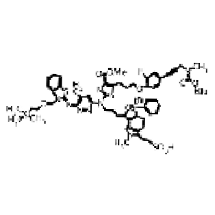 COC(=O)c1nc(N(CCCC(CCN(C)CCCS(=O)(=O)O)O[Si](c2ccccc2)(c2ccccc2)C(C)(C)C)c2cc(C)c(/N=c3\sc4ccccc4n3COCC[Si](C)(C)C)nn2)sc1CCCOc1ccc(C#CCN(C)C(=O)OC(C)(C)C)cc1F